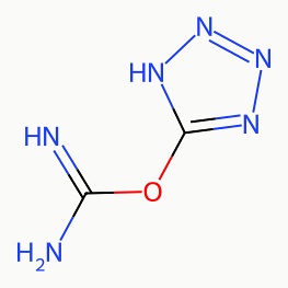 N=C(N)Oc1nnn[nH]1